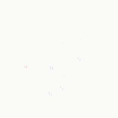 CC1=NN=C2CN=C(c3ccccc3)c3cc(Cl)ccc3N2C1O